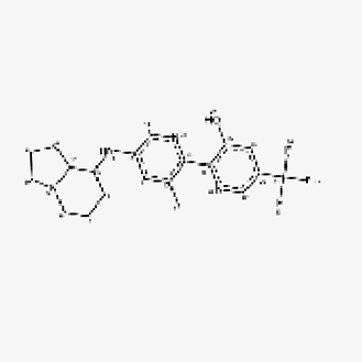 Cc1cc(NC2CCCN3CCCC23)nnc1-c1ncc(C(F)(F)F)cc1O